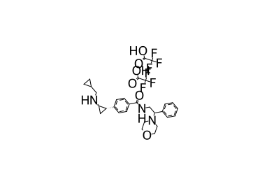 O=C(NCC(c1ccccc1)N1CCOCC1)c1ccc([C@@H]2C[C@H]2NCC2CC2)cc1.O=C(O)C(F)(F)F.O=C(O)C(F)(F)F